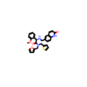 COc1ccccc1[C@@H](NCc1ccc2[nH]c(=O)ccc2c1)C(=O)N(Cc1ccco1)Cc1cccs1